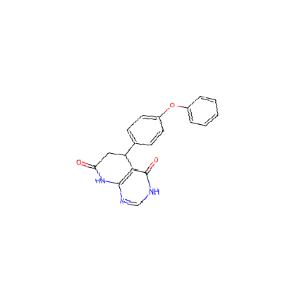 O=C1CC(c2ccc(Oc3ccccc3)cc2)c2c(nc[nH]c2=O)N1